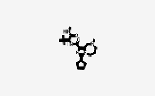 CNC(=O)C(NC(=O)c1nc(C2CC=CC2)n2c1CN(C)CCC2)C(C)(C)C